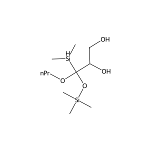 CCCOC(O[Si](C)(C)C)(C(O)CO)[SiH](C)C